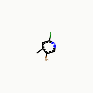 Cc1cc(F)ncc1S